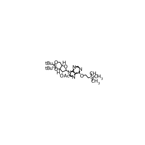 CC(=O)O[C@H]1C(n2cnc3c(OCC[Si](C)(C)C)ncnc32)O[C@@H]2CO[Si](C(C)(C)C)(C(C)(C)C)O[C@H]21